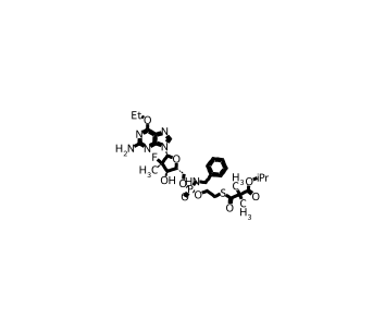 CCOc1nc(N)nc2c1ncn2[C@@H]1O[C@H](COP(=O)(NCc2ccccc2)OCCSC(=O)C(C)(C)C(=O)OC(C)C)[C@@H](O)[C@@]1(C)F